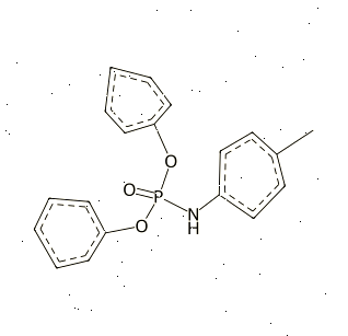 Cc1ccc(NP(=O)(Oc2ccccc2)Oc2ccccc2)cc1